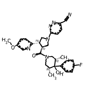 COc1ccc([C@@H]2CN(c3ccc(C#N)nn3)C[C@H]2C(=O)N2C[C@@H](C)C(O)(c3ccc(F)cc3)[C@@H](C)C2)nc1